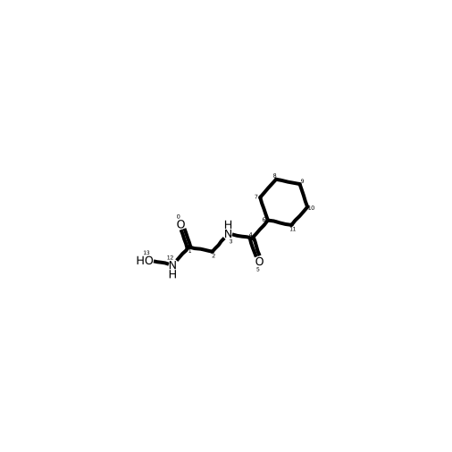 O=C(CNC(=O)C1CCCCC1)NO